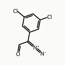 [N-]=[N+]=C(C=O)c1cc(Cl)cc(Cl)c1